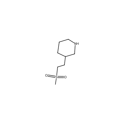 CS(=O)(=O)CC[C]1CCCNC1